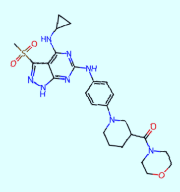 CS(=O)(=O)c1n[nH]c2nc(Nc3ccc(N4CCCC(C(=O)N5CCOCC5)C4)cc3)nc(NC3CC3)c12